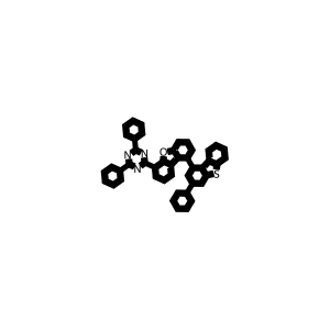 c1ccc(-c2cc(-c3cccc4oc5c(-c6nc(-c7ccccc7)nc(-c7ccccc7)n6)cccc5c34)c3c(c2)sc2ccccc23)cc1